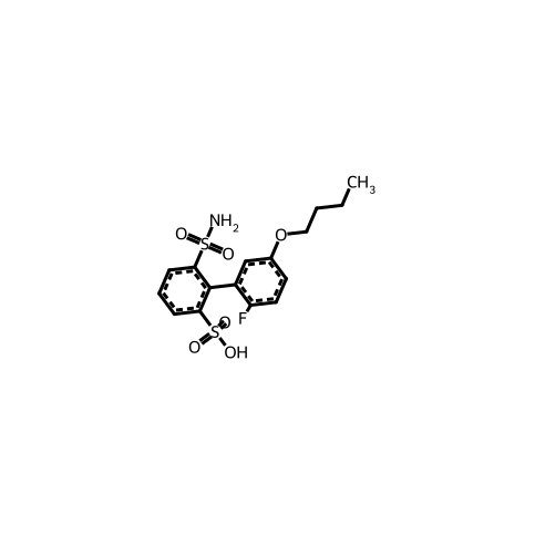 CCCCOc1ccc(F)c(-c2c(S(N)(=O)=O)cccc2S(=O)(=O)O)c1